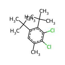 Cc1cc(C(C)(C)C)c(C(C)(C)C)c(Cl)c1Cl